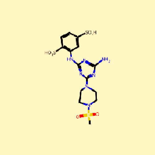 CS(=O)(=O)N1CCN(c2nc(N)nc(Nc3cc(S(=O)(=O)O)ccc3S(=O)(=O)O)n2)CC1